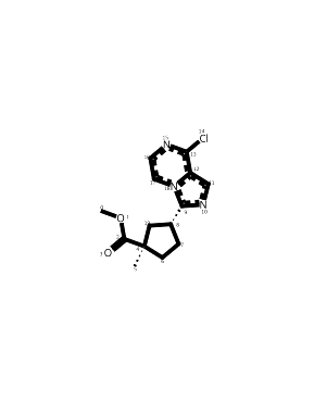 COC(=O)[C@]1(C)CC[C@@H](c2ncc3c(Cl)nccn23)C1